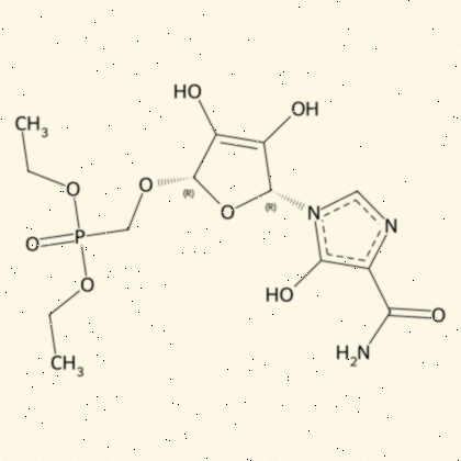 CCOP(=O)(CO[C@H]1O[C@@H](n2cnc(C(N)=O)c2O)C(O)=C1O)OCC